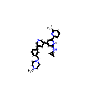 Cc1cccc(-c2cc(-c3cncc(-c4cccc(CN5CCN(C)CC5)c4)c3)cc(NC3CC3)n2)n1